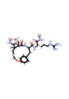 CCNC(=O)[C@H](CCCNC(=N)N)NC(=O)C1Cc2ccc(cc2)OCCC[C@H](C(=O)NO)[C@@H](CC(C)C)C(=O)N1